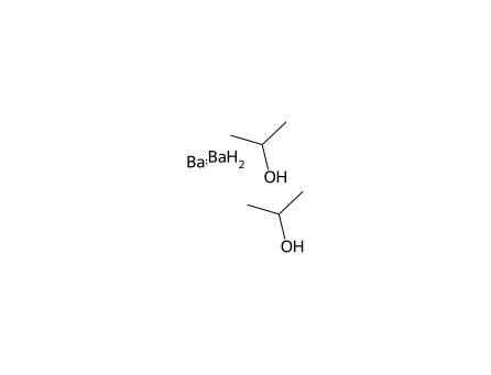 CC(C)O.CC(C)O.[BaH2].[Ba]